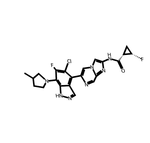 CC1CCN(c2c(F)c(Cl)c(-c3cn4cc(NC(=O)[C@@H]5C[C@@H]5F)nc4cn3)c3cn[nH]c23)C1